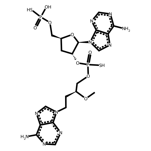 CO[C@@H](CCn1cnc2c(N)ncnc21)COP(=O)(S)O[C@@H]1C[C@@H](COP(=O)(O)S)O[C@H]1n1cnc2c(N)ncnc21